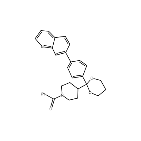 CC(C)C(=O)N1CCC(C2(c3ccc(-c4ccc5cccnc5c4)cc3)OCCCO2)CC1